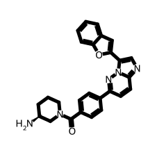 N[C@H]1CCCN(C(=O)c2ccc(-c3ccc4ncc(-c5cc6ccccc6o5)n4n3)cc2)C1